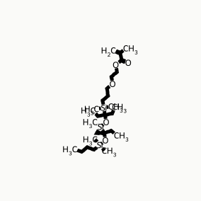 C=C(C)C(=O)OCCOCCC[Si](C)(C)C(CC)(CC)O[Si]1(C)CC1(CC)O[Si](C)(C)CCCC